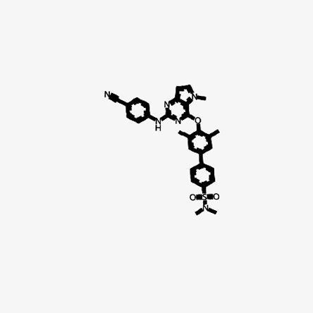 Cc1cc(-c2ccc(S(=O)(=O)N(C)C)cc2)cc(C)c1Oc1nc(Nc2ccc(C#N)cc2)nc2ccn(C)c12